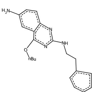 CCCCOc1nc(NCCc2ccccc2)nc2ccc(N)cc12